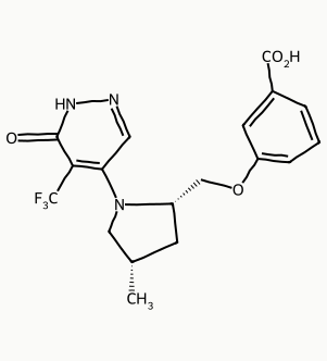 C[C@H]1C[C@@H](COc2cccc(C(=O)O)c2)N(c2cn[nH]c(=O)c2C(F)(F)F)C1